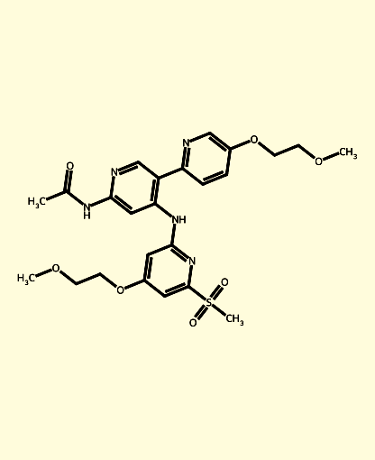 COCCOc1ccc(-c2cnc(NC(C)=O)cc2Nc2cc(OCCOC)cc(S(C)(=O)=O)n2)nc1